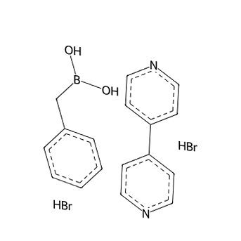 Br.Br.OB(O)Cc1ccccc1.c1cc(-c2ccncc2)ccn1